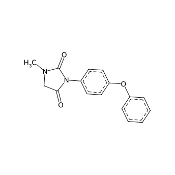 CN1CC(=O)N(c2ccc(Oc3ccccc3)cc2)C1=O